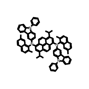 Cc1ccc2ccc(C)c(N(c3ccc4c(c3)c3ccccc3n4-c3ccccc3)c3cc(C(C)C)c4ccc5c(N(c6ccc7c(c6)c6ccccc6n7-c6ccccc6)c6c(C)ccc7ccc(C)cc67)cc(C(C)C)c6ccc3c4c65)c2c1